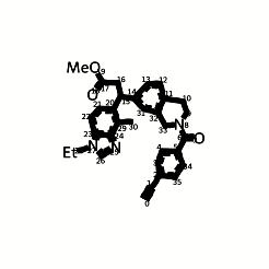 C#Cc1ccc(C(=O)N2CCc3ccc(C(CC(=O)OC)c4ccc5c(ncn5CC)c4C)cc3C2)cc1